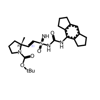 CC(C)(C)OC(=O)N1CCC[C@]1(C)/C=C/S(=N)(=O)NC(=O)Nc1c2c(cc3c1CCC3)CCC2